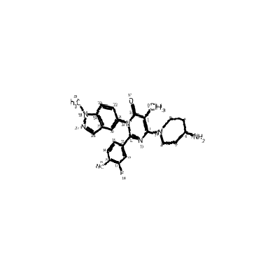 Cc1c(N2CCC(N)CC2)nc(-c2ccc(C#N)c(F)c2)n(-c2ccc3c(cnn3C)c2)c1=O